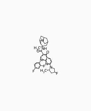 C[C@@H]1C[C@H](F)CN1c1ccc2c(=O)c(C(=O)NC3(C)C=C4CC5CC(C[C@@H]45)C3)cn(-c3ccc(F)cc3F)c2n1